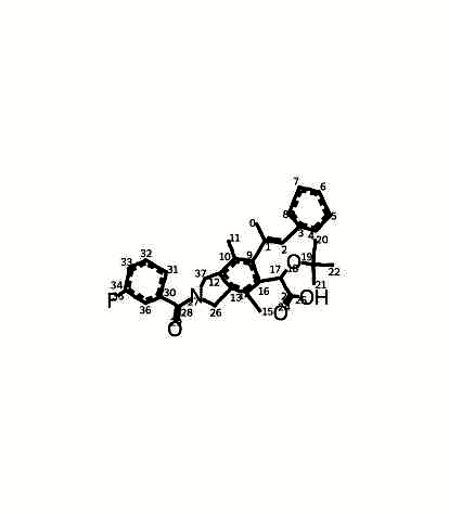 C/C(=C\c1ccccc1)c1c(C)c2c(c(C)c1C(OC(C)(C)C)C(=O)O)CN(C(=O)c1cccc(F)c1)C2